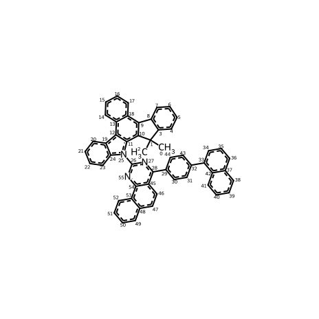 CC1(C)c2ccccc2-c2c1c1c(c3ccccc23)c2ccccc2n1-c1nc(-c2ccc(-c3cccc4ccccc34)cc2)c2ccc3ccccc3c2n1